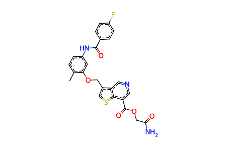 Cc1ccc(NC(=O)c2ccc(F)cc2)cc1OCc1csc2c(C(=O)OCC(N)=O)cncc12